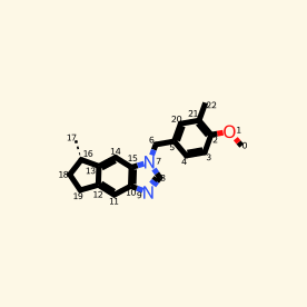 COc1ccc(Cn2cnc3cc4c(cc32)[C@@H](C)CC4)cc1C